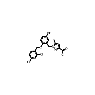 Cc1cc(C(=O)Cl)nn1Cc1cc(Br)ccc1OCc1ccc(Cl)cc1Cl